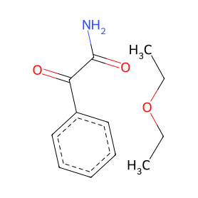 CCOCC.NC(=O)C(=O)c1ccccc1